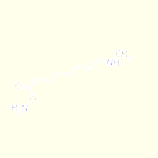 CNCCCCCCCC(=O)ON